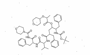 CC(OC1CCOCC1)C(=O)OC(CC(Cc1ccccc1)C(=O)NC(C(=O)NC(Cc1ccccc1)C(=O)NC(=O)N1CCOCC1)C(C)C)C(Cc1ccccc1)NC(=O)OC(C)(C)C